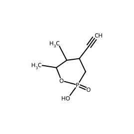 C#CC1CP(=O)(O)OC(C)C1C